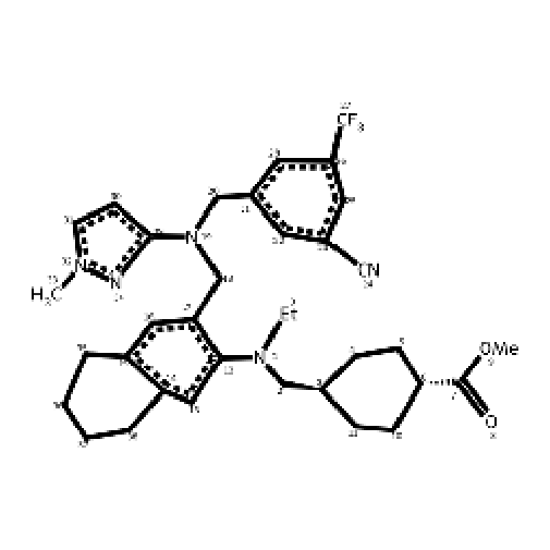 CCN(C[C@H]1CC[C@H](C(=O)OC)CC1)c1cc2c(cc1CN(Cc1cc(C#N)cc(C(F)(F)F)c1)c1ccn(C)n1)CCCC2